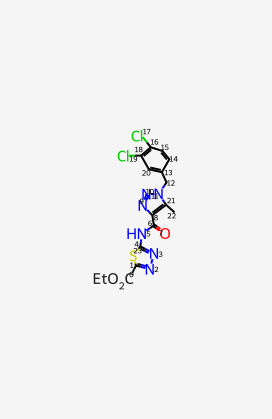 CCOC(=O)c1nnc(NC(=O)c2nnn(Cc3ccc(Cl)c(Cl)c3)c2C)s1